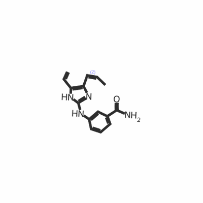 C=Cc1[nH]c(Nc2cccc(C(N)=O)c2)nc1/C=C\C